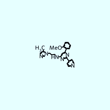 COc1ccccc1-c1cc(NCCCn2cncc2C)nc(-c2ccncc2)n1